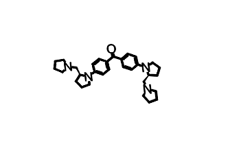 O=C(c1ccc(N2CCC[C@H]2CN2CCCC2)cc1)c1ccc(N2CCC[C@H]2CN2CCCC2)cc1